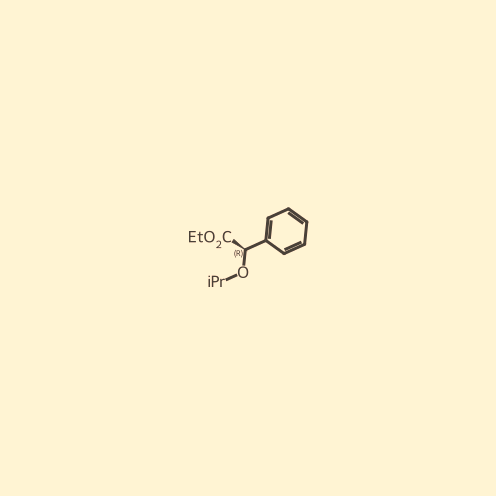 CCOC(=O)[C@H](OC(C)C)c1ccccc1